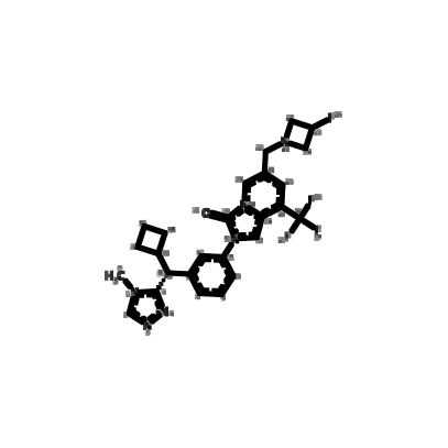 Cn1cnnc1[C@@H](c1cccc(-n2cc3c(C(F)(F)F)cc(CN4CC(F)C4)cn3c2=O)c1)C1CCC1